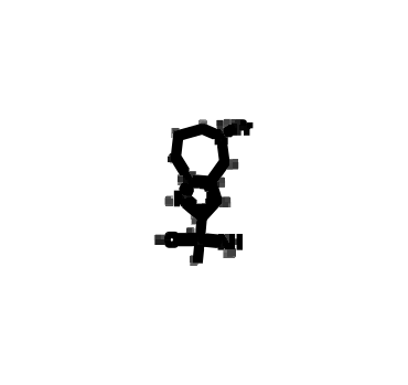 CC(C)N1CCCn2nc(S(C)(=N)=O)cc2C1